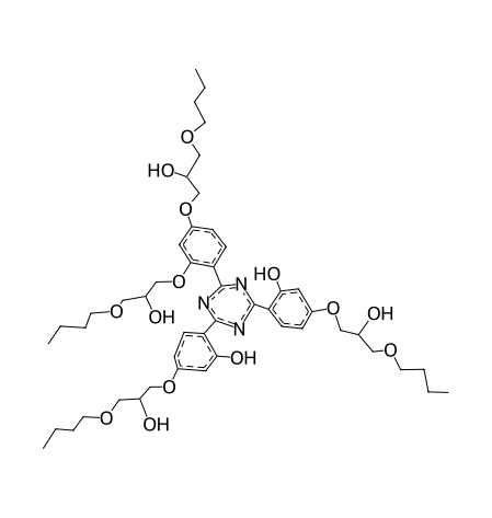 CCCCOCC(O)COc1ccc(-c2nc(-c3ccc(OCC(O)COCCCC)cc3O)nc(-c3ccc(OCC(O)COCCCC)cc3OCC(O)COCCCC)n2)c(O)c1